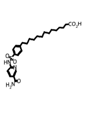 NC(=O)c1ccc(NS(=O)(=O)c2ccc(CCCCCCCCCCCCCC(=O)O)cc2)nc1